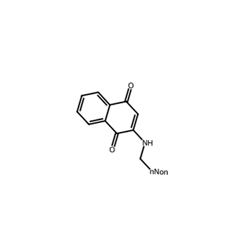 CCCCCCCCCCNC1=CC(=O)c2ccccc2C1=O